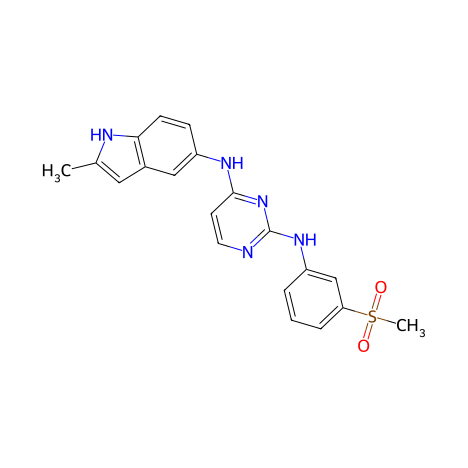 Cc1cc2cc(Nc3ccnc(Nc4cccc(S(C)(=O)=O)c4)n3)ccc2[nH]1